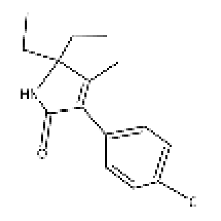 CCC1(CC)NC(=O)C(c2ccc(Cl)cc2)=C1C